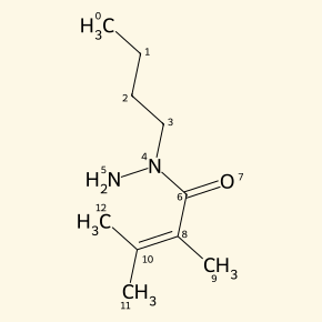 CCCCN(N)C(=O)C(C)=C(C)C